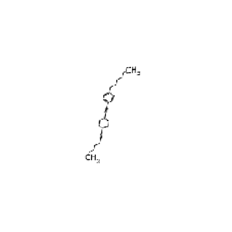 CCCCCC#Cc1ccc(C#Cc2ccc(CCCCCC)cc2)cc1